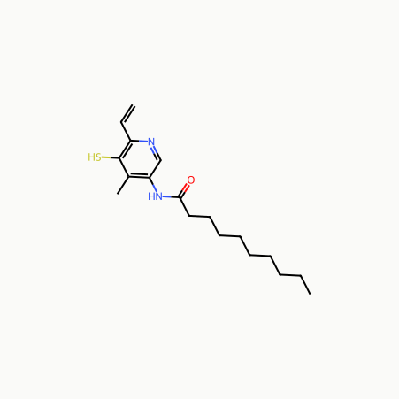 C=Cc1ncc(NC(=O)CCCCCCCCC)c(C)c1S